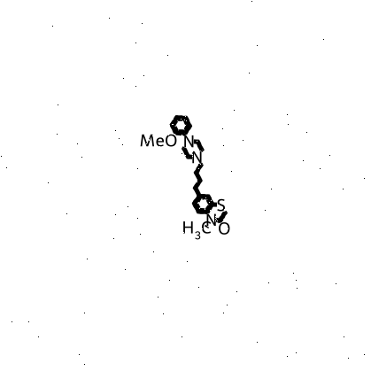 COc1ccccc1N1CCN(CCCCc2ccc3c(c2)SCC(=O)N3C)CC1